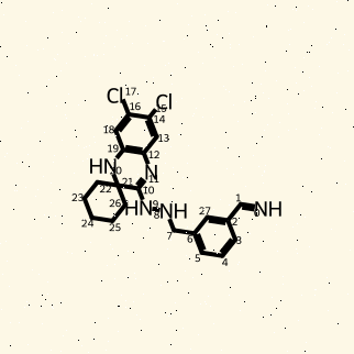 N=Cc1cccc(CNNC2=Nc3cc(Cl)c(Cl)cc3NC23CCCCC3)c1